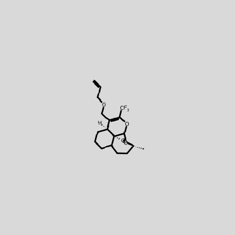 C=CCOCC1=C(C(F)(F)F)OC2O[C@]3(C)CCC4CCC[C@@H]1[C@]42OO3